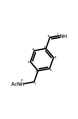 CC(=O)NCc1ccc(C=N)cc1